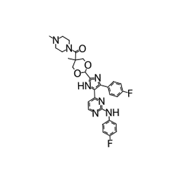 CN1CCN(C(=O)C2(C)COC(c3nc(-c4ccc(F)cc4)c(-c4ccnc(Nc5ccc(F)cc5)n4)[nH]3)OC2)CC1